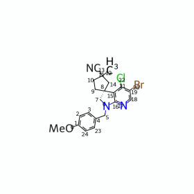 COc1ccc(CN2C[C@@]3(CC[C@@](C)(C#N)C3)c3c2ncc(Br)c3Cl)cc1